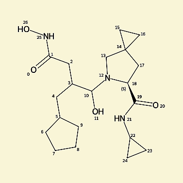 O=C(CC(CC1CCCC1)C(O)N1CC2(CC2)C[C@H]1C(=O)NC1CC1)NO